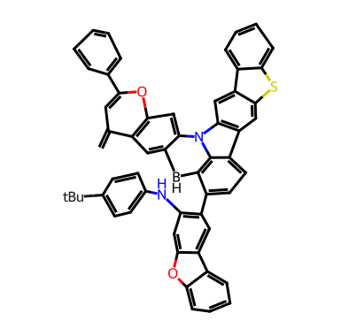 C=C1C=C(c2ccccc2)Oc2cc3c(cc21)Bc1c(-c2cc4c(cc2Nc2ccc(C(C)(C)C)cc2)oc2ccccc24)ccc2c4cc5sc6ccccc6c5cc4n-3c12